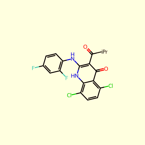 CC(C)C(=O)c1c(Nc2ccc(F)cc2F)[nH]c2c(Cl)ccc(Cl)c2c1=O